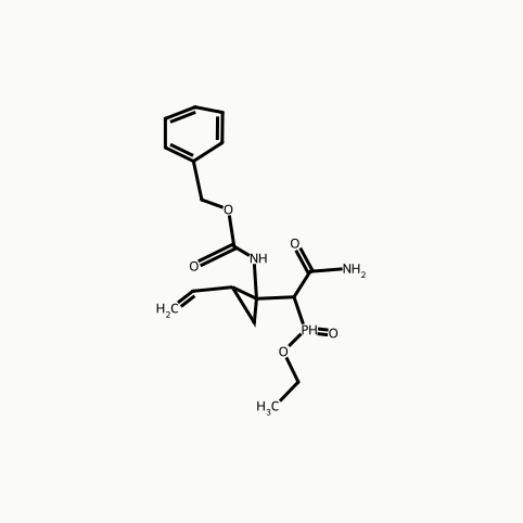 C=CC1CC1(NC(=O)OCc1ccccc1)C(C(N)=O)[PH](=O)OCC